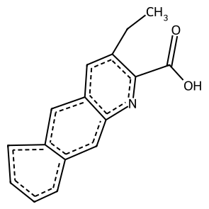 CCc1cc2cc3ccccc3cc2nc1C(=O)O